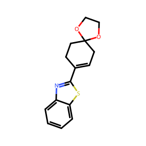 C1=C(c2nc3ccccc3s2)CCC2(C1)OCCO2